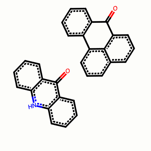 O=C1c2ccccc2-c2cccc3cccc1c23.O=c1c2ccccc2[nH]c2ccccc12